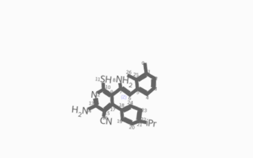 Cc1cccc(/C=C(\N)c2c(S)nc(N)c(C#N)c2-c2ccc(C(C)C)cc2)c1C